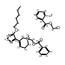 CCCCCCOc1nsnc1C1=CCC[N+](C)(COC(=O)c2ccccc2)C1.O=C(OCCl)c1ccccc1.[I-]